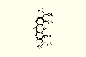 Cc1c(N(C)C)ccc2c1Sc1c(ccc(N(C)C)c1C)N2